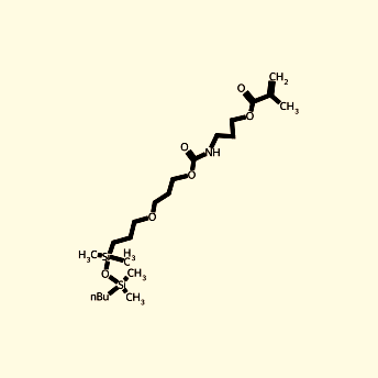 C=C(C)C(=O)OCCCNC(=O)OCCCOCCC[Si](C)(C)O[Si](C)(C)CCCC